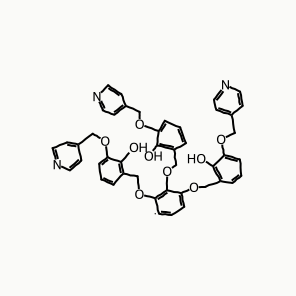 Oc1c(COc2[c]ccc(OCc3cccc(OCc4ccncc4)c3O)c2OCc2cccc(OCc3ccncc3)c2O)cccc1OCc1ccncc1